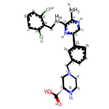 O=C(O)[C@@H]1CN(Cc2cccc(-c3cnc([AsH2])c([AsH]Cc4c(Cl)cccc4Cl)n3)c2)CCN1